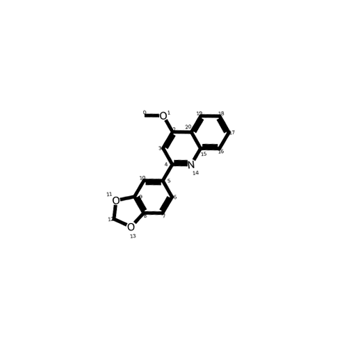 COc1cc(-c2ccc3c(c2)OCO3)nc2ccccc12